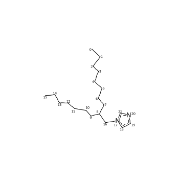 CCCCCCCCC(CCCCCCC)Cn1ccnc1